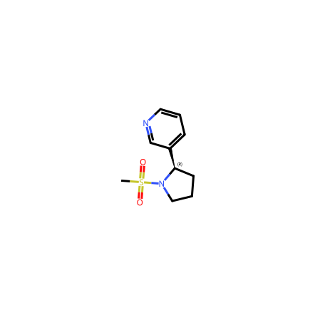 CS(=O)(=O)N1CCC[C@@H]1c1cccnc1